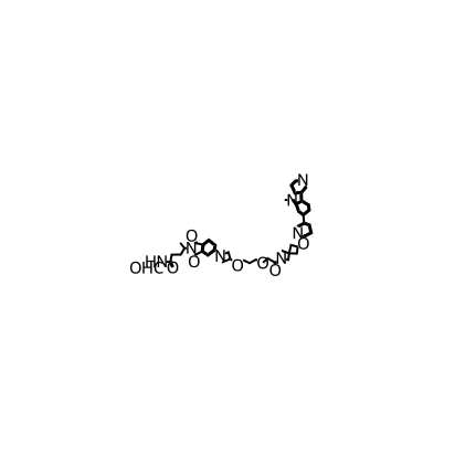 CC(CCC(=O)NC=O)N1C(=O)c2ccc(N3CC(OCCCOCC(=O)N4CC5(CC(Oc6ccc(-c7ccc8c9cnccc9n(C)c8c7)cn6)C5)C4)C3)cc2C1=O